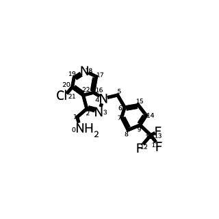 NCc1nn(Cc2ccc(C(F)(F)F)cc2)c2cncc(Cl)c12